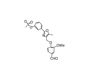 COc1cc(C=O)ccc1OCc1nc(-c2cccc(OS(C)(=O)=O)c2)oc1C